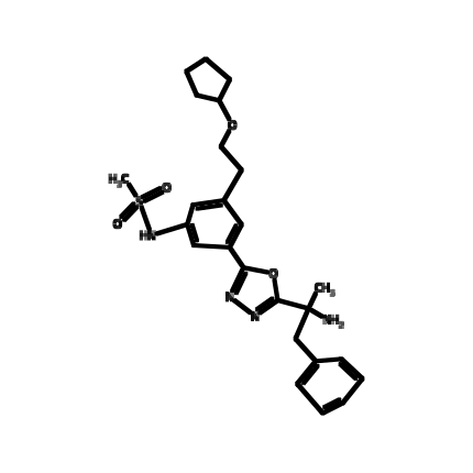 CC(N)(Cc1ccccc1)c1nnc(-c2cc(CCOC3CCCC3)cc(NS(C)(=O)=O)c2)o1